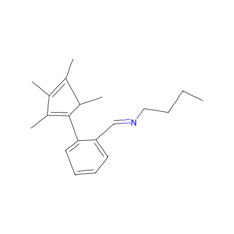 CCCCN=Cc1ccccc1C1=C(C)C(C)=C(C)C1C